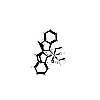 CCC1=Cc2ccccc2[CH]1[Zr]([Cl])([Cl])([CH2]C)([SiH2]C)[CH]1C(CC)=Cc2ccccc21